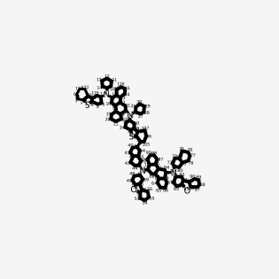 C1=Cc2sc3ccc(N(c4ccccc4)c4cc5c6ccccc6c(N(c6ccccc6)c6ccc7sc8c(-c9ccc%10ccc(N(c%11ccc%12oc%13ccccc%13c%12c%11)c%11cc%12c%13ccccc%13c(N(c%13ccc%14ccccc%14c%13)c%13ccc%14oc%15ccccc%15c%14c%13)cc%12c%12ccccc%11%12)cc%10c9)cccc8c7c6)cc5c5ccccc45)cc3c2CC1